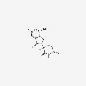 C=C1NC(=O)CCC1(C)N1Cc2c(N)cc(C)cc2C1=O